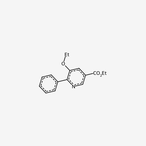 CCOC(=O)c1cnc(-c2ccccc2)c(OCC)c1